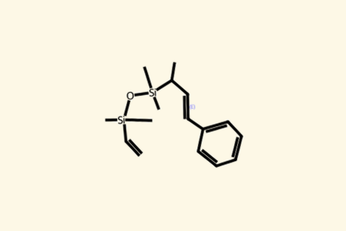 C=C[Si](C)(C)O[Si](C)(C)C(C)/C=C/c1ccccc1